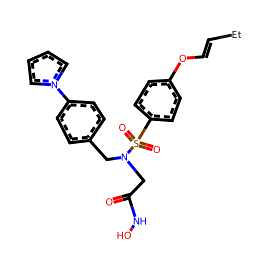 CCC=COc1ccc(S(=O)(=O)N(CC(=O)NO)Cc2ccc(-n3cccc3)cc2)cc1